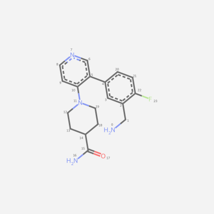 NCc1cc(-c2cnccc2N2CCC(C(N)=O)CC2)ccc1F